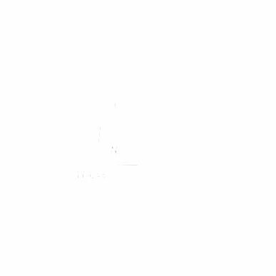 C=Cc1cc2ccccc2n1Cc1ccccc1